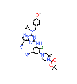 COc1ccc(CN(c2nc(Nc3cc(C#N)cc(N4CCN(C(=O)OC(C)(C)C)[C@H](C)C4)c3Cl)nc3c(C#N)cnn23)C2CC2)cc1